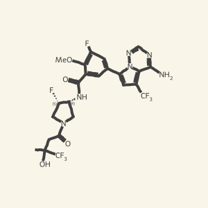 COc1c(F)cc(-c2cc(C(F)(F)F)c3c(N)ncnn23)cc1C(=O)N[C@@H]1CN(C(=O)CC(C)(O)C(F)(F)F)C[C@@H]1F